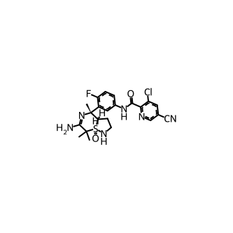 CC1(C)C(N)=N[C@](C)(c2cc(NC(=O)c3ncc(C#N)cc3Cl)ccc2F)[C@@H]2CCN[SH]21=O